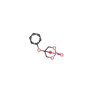 O=P12OCC(Oc3ccccc3)(CO1)CO2